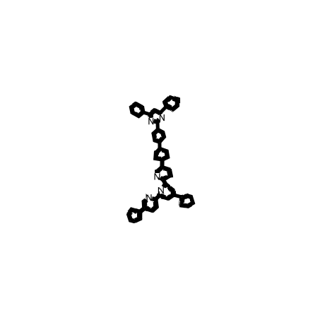 c1ccc(-c2ccc(-c3cc(-c4ccccc4)cc(-c4ccc(-c5ccc(-c6ccc(-c7nc(-c8ccccc8)cc(-c8ccccc8)n7)cc6)cc5)cn4)n3)nc2)cc1